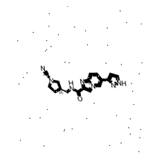 N#CN1CC[C@H](CNC(=O)c2cn3cc(-c4cc[nH]n4)ccc3n2)C1